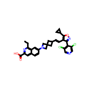 CCc1nc(C(=O)O)cc2ccc(N3CC4(CC(C=Cc5c(-c6c(Cl)cncc6Cl)noc5C5CC5)C4)C3)cc12